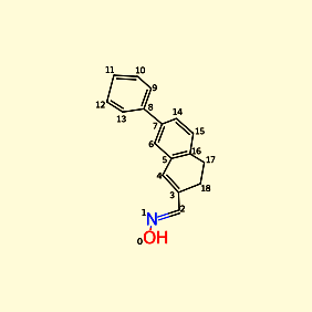 ON=CC1=Cc2cc(-c3ccccc3)ccc2CC1